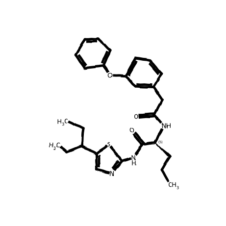 CCC[C@H](NC(=O)Cc1cccc(Oc2ccccc2)c1)C(=O)Nc1ncc(C(CC)CC)s1